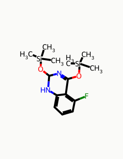 C[Si](C)(C)OC1=NC(O[Si](C)(C)C)Nc2cccc(F)c21